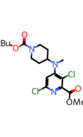 COC(=O)c1nc(Cl)cc(N(C)C2CCN(C(=O)OC(C)(C)C)CC2)c1Cl